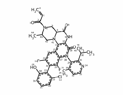 C=CC(=O)N1CC2C(=O)Nc3c(c4cc(F)c(-c5c(O)cccc5Cl)c(F)c4n(-c4c(C)ccnc4C(C)C)c3=O)N2CC1C